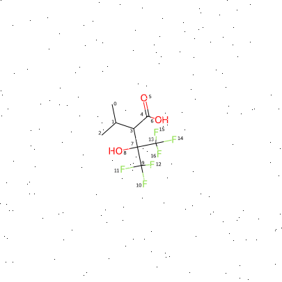 CC(C)C(C(=O)O)C(O)(C(F)(F)F)C(F)(F)F